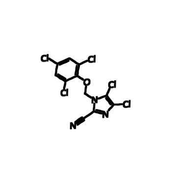 N#Cc1nc(Cl)c(Cl)n1COc1c(Cl)cc(Cl)cc1Cl